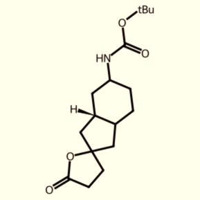 CC(C)(C)OC(=O)NC1CCC2CC3(CCC(=O)O3)C[C@@H]2C1